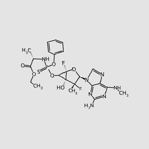 CCOC(=O)[C@H](C)NP(=S)(Oc1ccccc1)OC1[C@]2(O)[C@@](C)(F)[C@H](n3cnc4c(NC)nc(N)nc43)O[C@]12F